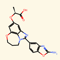 C[C@H](Oc1cc2c3c(c1)nc(-c1ccc4oc(N)nc4c1)n3CCCO2)C(=O)O